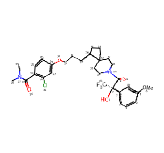 COc1cccc([C@@](O)(C(=O)N2CCC3(CCC3CCCOc3ccc(C(=O)N(C)C)c(Cl)c3)CC2)C(F)(F)F)c1